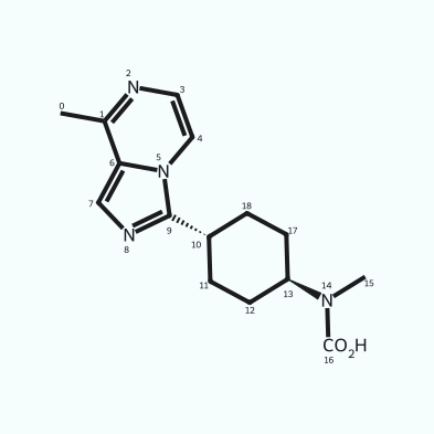 Cc1nccn2c1cnc2[C@H]1CC[C@H](N(C)C(=O)O)CC1